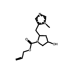 C=CCOC(=O)N1CC(O)CC1Cc1cncn1C